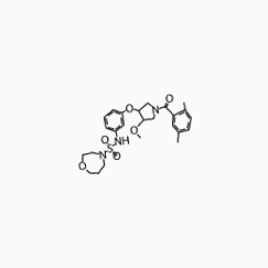 COC1CN(C(=O)c2cc(C)ccc2C)CC1Oc1cccc(NS(=O)(=O)N2CCCOCC2)c1